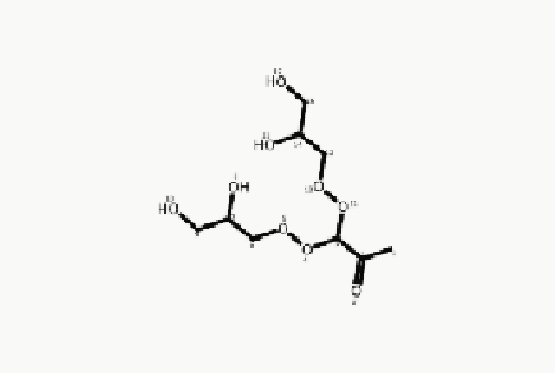 CC(=O)C(OOCC(O)CO)OOCC(O)CO